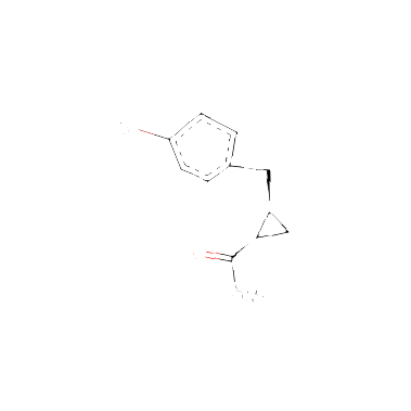 COC(=O)[C@@H]1C[C@@H]1Cc1ccc(Br)cc1